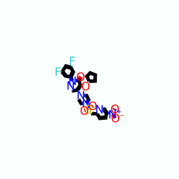 O=c1c(OC2CCCC2)c(N2CCN(S(=O)(=O)Cc3ccc([N+](=O)[O-])cn3)CC2)cnn1-c1cc(F)cc(F)c1